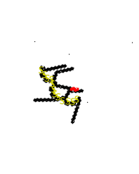 CCCCCCCCCCCCc1cc(C)sc1-c1ccc(-c2ccc(-c3sc(-c4cc(CCCCCCCCCCCC)c(-c5ccc(-c6ccc(-c7sc(/C(=C/C(C)CCCCCCCCCCCC)SC(C)c8ccc(-c9ccc(-c%10sc(C)cc%10CCCCCCCCCCCC)s9)s8)cc7CCCCCCCCCCCC)s6)s5)s4)cc3CCCCCCCCCCCC)s2)s1